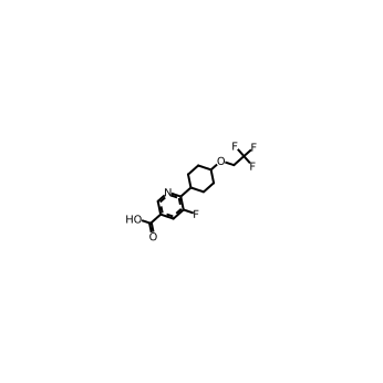 O=C(O)c1cnc(C2CCC(OCC(F)(F)F)CC2)c(F)c1